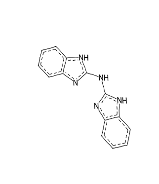 c1ccc2[nH]c(Nc3nc4ccccc4[nH]3)nc2c1